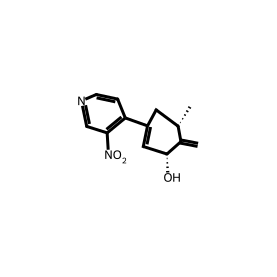 C=C1[C@H](O)C=C(c2ccncc2[N+](=O)[O-])C[C@@H]1C